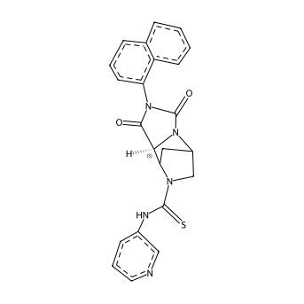 O=C1[C@@H]2C3CC(CN3C(=S)Nc3cccnc3)N2C(=O)N1c1cccc2ccccc12